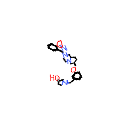 O[C@H]1CCN(Cc2cccc(OCC3CCC4CN(c5noc6ccccc56)CCN4C3)c2)C1